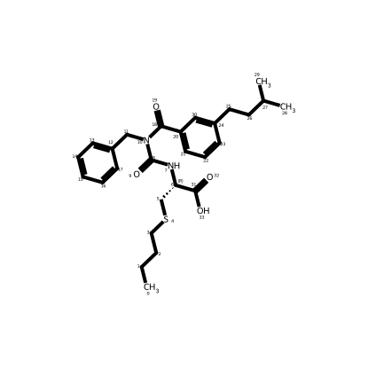 CCCCSC[C@H](NC(=O)N(Cc1ccccc1)C(=O)c1cccc(CCC(C)C)c1)C(=O)O